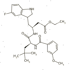 CCOC(=O)C[C@H](CC1CNc2ccc(F)cc21)NC(=O)[C@H](CC(C)(C)C)NC(=O)c1cccc(OC)c1